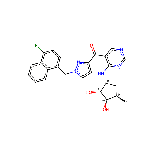 [CH2][C@@H]1C[C@@H](Nc2ncncc2C(=O)c2ccn(Cc3ccc(F)c4ccccc34)n2)[C@H](O)[C@@H]1O